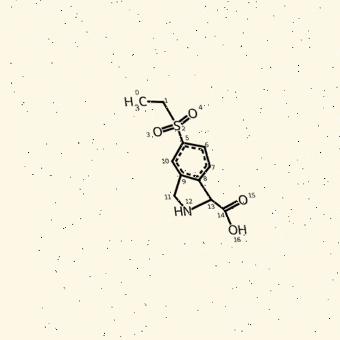 CCS(=O)(=O)c1ccc2c(c1)CNC2C(=O)O